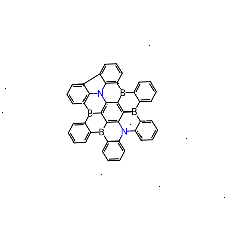 c1ccc2c(c1)B1c3ccccc3N3c4ccccc4B4c5ccccc5B5c6c4c3c1c1c6-n3c4c(cccc4c4cccc5c43)B21